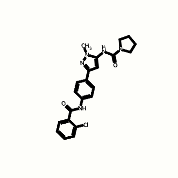 Cn1nc(-c2ccc(NC(=O)c3ccccc3Cl)cc2)cc1NC(=O)N1CCCC1